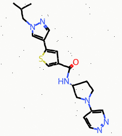 CC(C)Cn1cc(-c2cc(C(=O)N[C@@H]3CCN(c4ccnnc4)C3)cs2)cn1